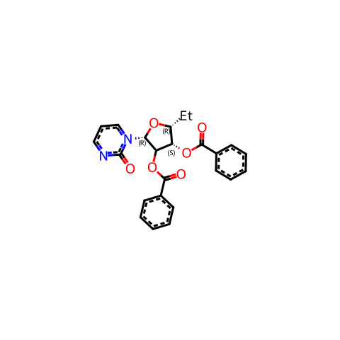 CC[C@H]1O[C@@H](n2cccnc2=O)C(OC(=O)c2ccccc2)[C@H]1OC(=O)c1ccccc1